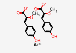 COC(=Cc1ccc(O)cc1)C(=O)[O-].COC(=Cc1ccc(O)cc1)C(=O)[O-].[Ba+2]